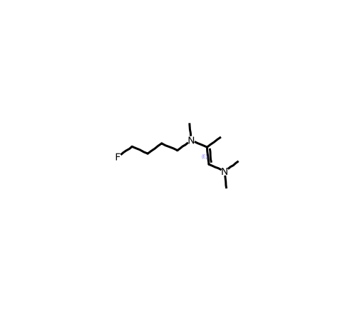 C/C(=C\N(C)C)N(C)CCCCF